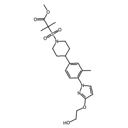 COC(=O)C(C)(C)S(=O)(=O)N1CCC(c2ccc(-n3ccc(OCCO)n3)c(C)c2)CC1